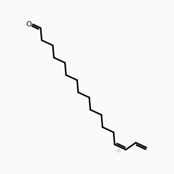 C=C/C=C\CCCCCCCCCCCCC=O